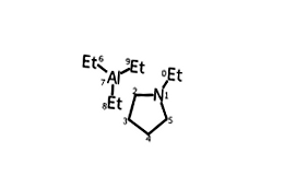 CCN1CCCC1.C[CH2][Al]([CH2]C)[CH2]C